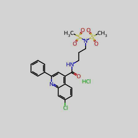 CS(=O)(=O)N(CCCNC(=O)c1cc(-c2ccccc2)nc2cc(Cl)ccc12)S(C)(=O)=O.Cl